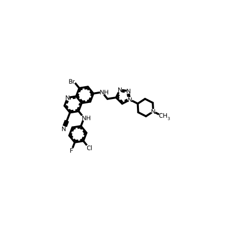 CN1CCC(n2cc(CNc3cc(Br)c4ncc(C#N)c(Nc5ccc(F)c(Cl)c5)c4c3)nn2)CC1